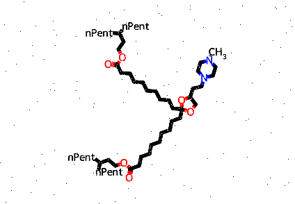 CCCCCC(CCCCC)CCOC(=O)CCCCCCCCCC1(CCCCCCCCCC(=O)OCCC(CCCCC)CCCCC)OCC(CCN2CCN(C)CC2)O1